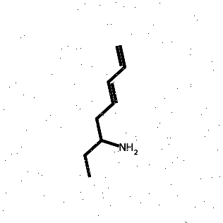 C=CC=CCC(N)CC